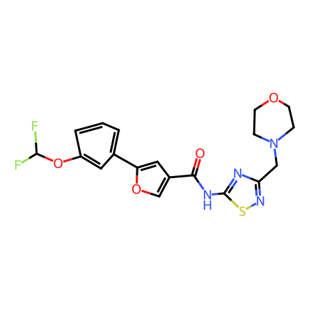 O=C(Nc1nc(CN2CCOCC2)ns1)c1coc(-c2cccc(OC(F)F)c2)c1